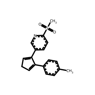 Cc1ccc(C2=CCC=C2c2ccc(S(C)(=O)=O)nc2)cc1